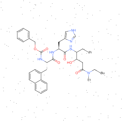 CCC(C)CN(CC)C(=O)CC(O)C(CC(C)C)NC(=O)[C@H](Cc1c[nH]cn1)NC(=O)[C@H](Cc1cccc2ccccc12)NC(=O)OCc1ccccc1